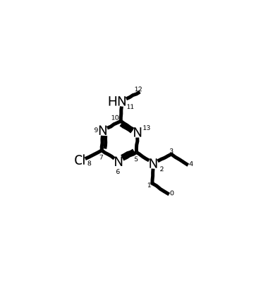 CCN(CC)c1nc(Cl)nc(NC)n1